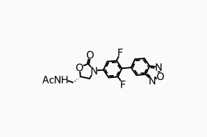 CC(=O)NC[C@H]1CN(c2cc(F)c(-c3ccc4nonc4c3)c(F)c2)C(=O)O1